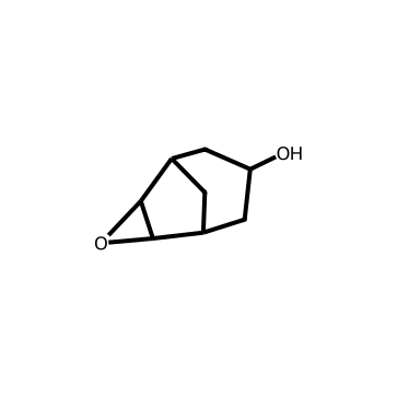 OC1CC2CC(C1)C1OC21